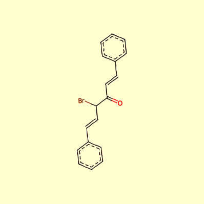 O=C(C=Cc1ccccc1)C(Br)C=Cc1ccccc1